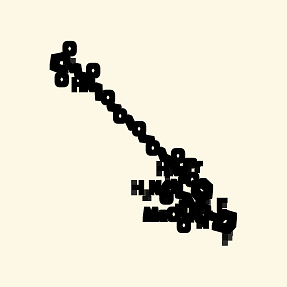 CON(C)C(=O)N1N=C(c2cc(F)ccc2F)S[C@@]1(CCCN(C(=O)[C@@H](NC(=O)CCOCCOCCOCCOCCNC(=O)CCN1C(=O)C=CC1=O)C(C)C)[C@@H](C)C(N)=O)c1ccccc1